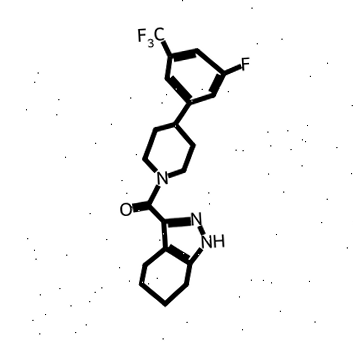 O=C(c1n[nH]c2c1CCCC2)N1CCC(c2cc(F)cc(C(F)(F)F)c2)CC1